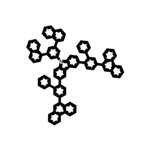 c1ccc(-c2cc(-c3cc4ccccc4c4ccccc34)ccc2-c2ccc3c(c2)c2cc(-c4ccc(-c5cc6ccccc6c6ccccc56)cc4-c4ccccc4)ccc2n3-c2cc(-c3cccc4ccccc34)cc(-c3cccc4ccccc34)c2)cc1